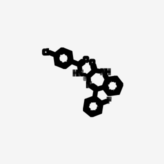 O=C(N[C@H]1N=C(c2ccccc2F)c2ccccc2NC1=O)c1ccc(Cl)cc1